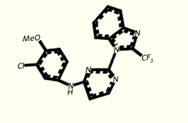 COc1ccc(Nc2ccnc(-n3c(C(F)(F)F)nc4ccccc43)n2)cc1Cl